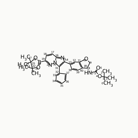 CC(C)(C)OC(=O)N[C@H]1COc2cc(-c3nc4ccc(B5OC(C)(C)C(C)(C)O5)nn4c3-c3ccccc3)ccc21